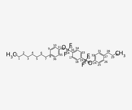 CCCCCCCCc1ccc(OC(F)(F)c2ccc(C(F)(F)Oc3ccc(CCC)cc3)cc2)cc1